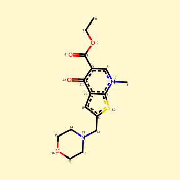 CCOC(=O)c1cn(C)c2sc(CN3CCOCC3)cc2c1=O